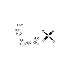 O.O.O.O.O.O.O.O=S(=O)([O-])[O-].[Co+2]